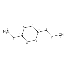 NCN1CCN(CCO)CC1